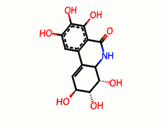 O=C1NC2C(=C[C@H](O)[C@@H](O)[C@H]2O)c2cc(O)c(O)c(O)c21